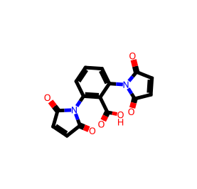 O=C(O)c1c(N2C(=O)C=CC2=O)cccc1N1C(=O)C=CC1=O